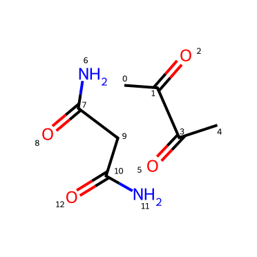 CC(=O)C(C)=O.NC(=O)CC(N)=O